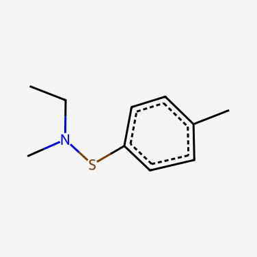 CCN(C)Sc1ccc(C)cc1